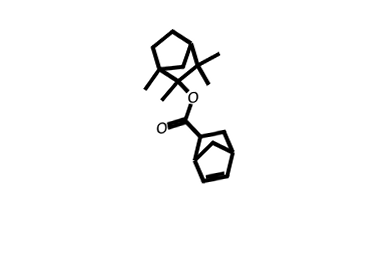 CC12CCC(C1)C(C)(C)C2(C)OC(=O)C1CC2C=CC1C2